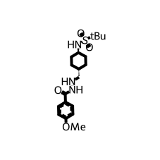 COc1ccc(C(=O)NNC[C@H]2CC[C@H](NS(=O)(=O)C(C)(C)C)CC2)cc1